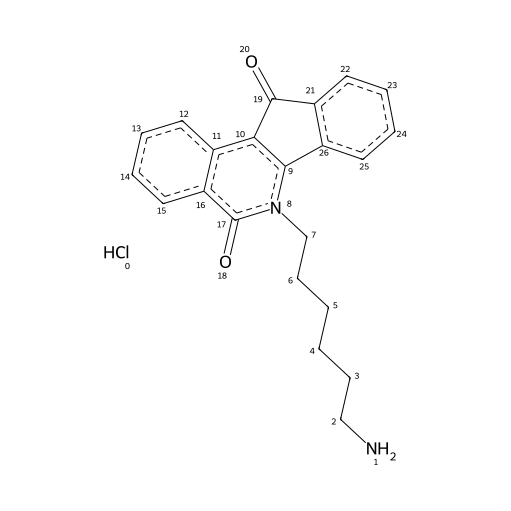 Cl.NCCCCCCn1c2c(c3ccccc3c1=O)C(=O)c1ccccc1-2